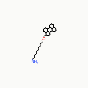 NCCCCCCCCCCCOCc1ccc2c3cccc4cccc(c5cccc1c52)c43